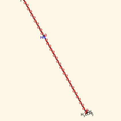 COCCOCCOCCOCCOCCOCCOCCOCCOCCOCCOCCOCCC(=O)NCCOCCOCCOCCOCCOCCOCCOCCOCCOCCOCCOCCOCCOCCOCCOCCOCCOCCOCCOCCOCCOCCOCCOCCOCCC(=O)OC(C)(C)C